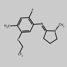 Cc1cc(F)c(/N=C2\CCCN2C)cc1SCC(F)(F)F